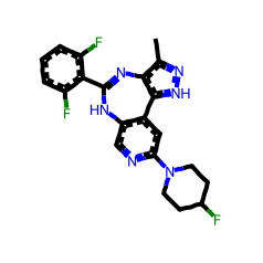 Cc1n[nH]c2c1N=C(c1c(F)cccc1F)Nc1cnc(N3CCC(F)CC3)cc1-2